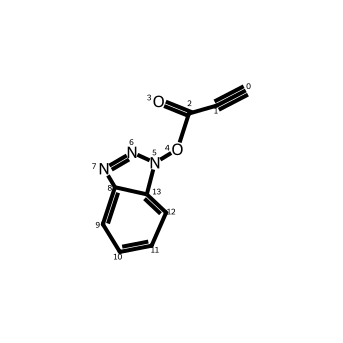 C#CC(=O)On1nnc2ccccc21